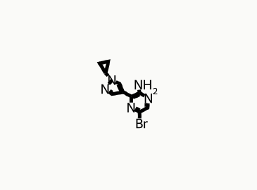 Nc1ncc(Br)nc1-c1cnn(C2CC2)c1